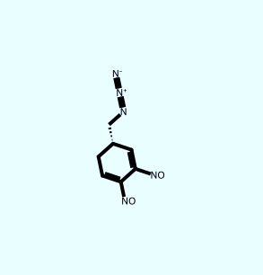 [N-]=[N+]=NC[C@@H]1C=C(N=O)C(N=O)=CC1